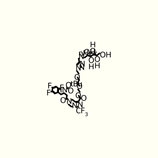 CCCCCCN(Cc1cn(CCOCCOCCOC(=O)c2nc(C(F)(F)F)n3c2CN(C(=O)CC(Cc2cc(F)c(F)cc2F)NC(=O)OC(C)(C)C)CC3)nn1)CC(O)C(O)C(O)C(O)CO